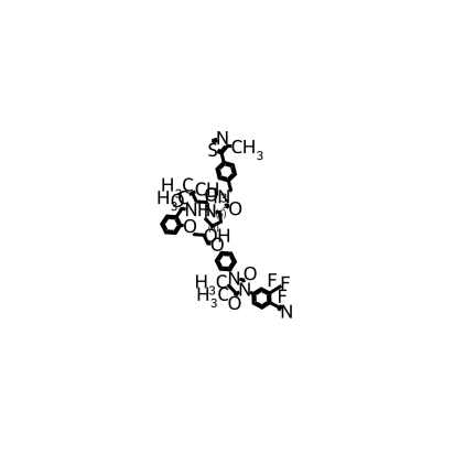 Cc1ncsc1-c1ccc(CNC(=O)[C@@H]2C[C@@H](O)CN2C(=O)C(NC(=O)c2ccccc2OCCCOc2ccc(N3C(=O)N(c4ccc(C#N)c(C(F)(F)F)c4)C(=O)C3(C)C)cc2)C(C)(C)C)cc1